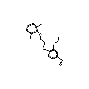 CCOc1cc(C=O)ccc1OCCOc1c(C)cccc1C